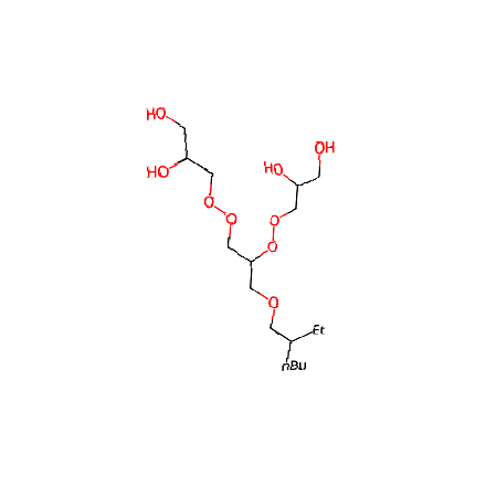 CCCCC(CC)COCC(COOCC(O)CO)OOCC(O)CO